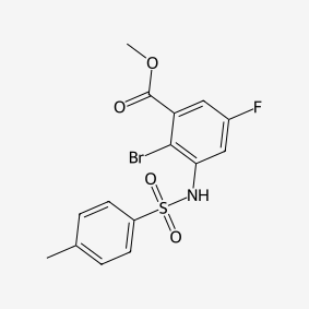 COC(=O)c1cc(F)cc(NS(=O)(=O)c2ccc(C)cc2)c1Br